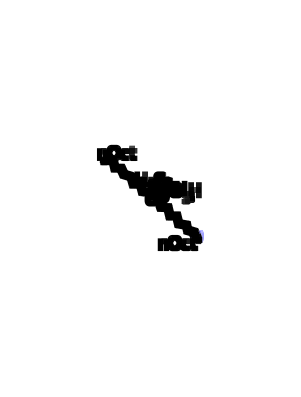 C=CC.CCCCCCCCC=CCCCCCCCC(=O)OC(=O)CCCCCCC/C=C\CCCCCCCC.O=S(=O)(O)O